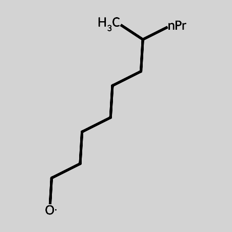 CCCC(C)CCCCCC[O]